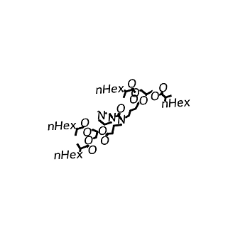 CCCCCCC(C)C(=O)OCC(COC(=O)C(C)CCCCCC)OC(=O)CCCN(CCCC(=O)OC(COC(=O)C(C)CCCCCC)COC(=O)C(C)CCCCCC)C(=O)N(C)CCCN(C)C